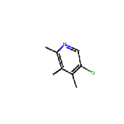 Cc1n[c]c(Br)c(C)c1C